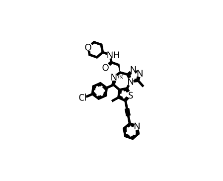 Cc1c(C#Cc2ccccn2)sc2c1C(c1ccc(Cl)cc1)=N[C@@H](CC(=O)NC1CCOCC1)c1nnc(C)n1-2